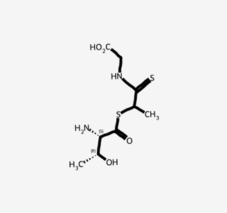 CC(SC(=O)[C@@H](N)[C@@H](C)O)C(=S)NCC(=O)O